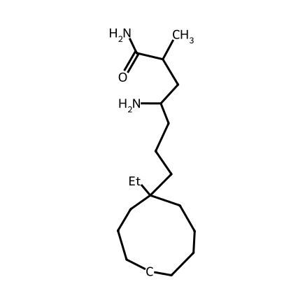 CCC1(CCCC(N)CC(C)C(N)=O)CCCCCCCC1